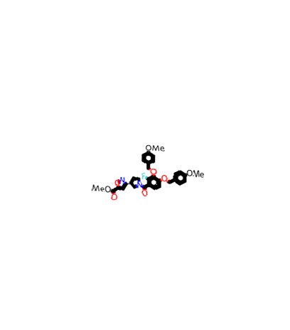 COC(=O)c1cc([C@@H]2CCN(C(=O)c3ccc(OCc4ccc(OC)cc4)c(OCc4ccc(OC)cc4)c3F)C2)no1